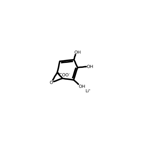 O=C([O-])C12C=C(O)C(O)=C(O)C1O2.[Li+]